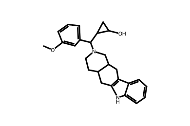 COc1cccc(C(C2CC2O)N2CCC3Cc4[nH]c5ccccc5c4CC3C2)c1